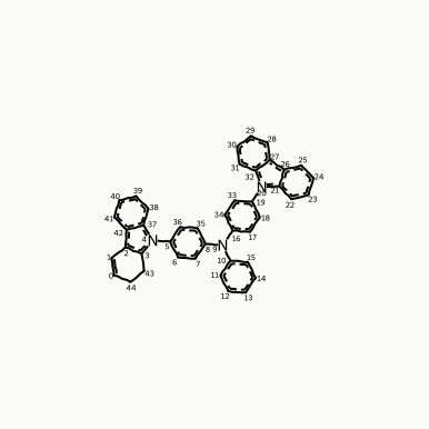 C1=Cc2c(n(-c3ccc(N(c4ccccc4)c4ccc(-n5c6ccccc6c6ccccc65)cc4)cc3)c3ccccc23)CC1